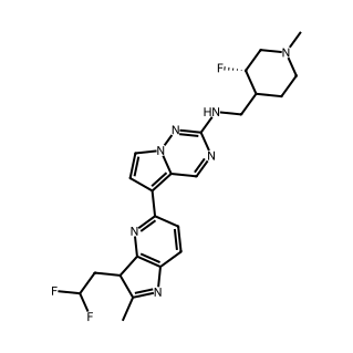 CC1=Nc2ccc(-c3ccn4nc(NCC5CCN(C)C[C@H]5F)ncc34)nc2C1CC(F)F